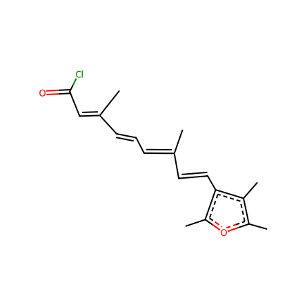 CC(/C=C/c1c(C)oc(C)c1C)=C\C=C\C(C)=C\C(=O)Cl